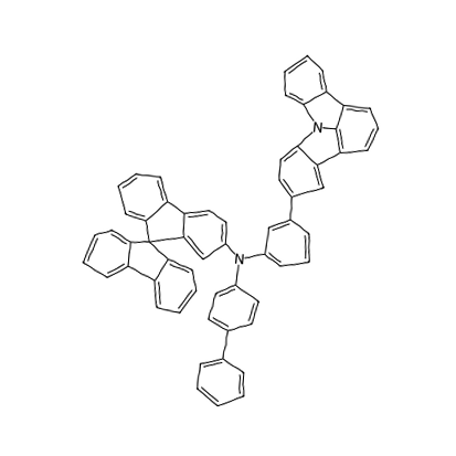 c1ccc(-c2ccc(N(c3cccc(-c4ccc5c(c4)c4cccc6c7ccccc7n5c64)c3)c3ccc4c(c3)C3(c5ccccc5-c5ccccc53)c3ccccc3-4)cc2)cc1